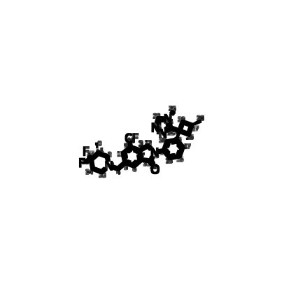 C[C@@H]1CN(Cc2cc3c(c(C(F)(F)F)c2)CN(c2cccc([C@]4(c5nncn5C)C[C@H](C)C4)c2)C3=O)CCC1(F)F